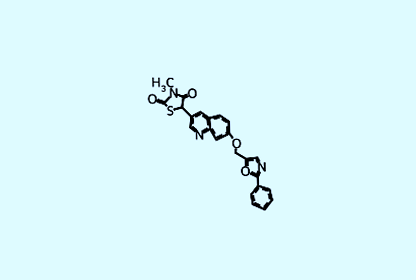 CN1C(=O)SC(c2cnc3cc(OCc4cnc(-c5ccccc5)o4)ccc3c2)C1=O